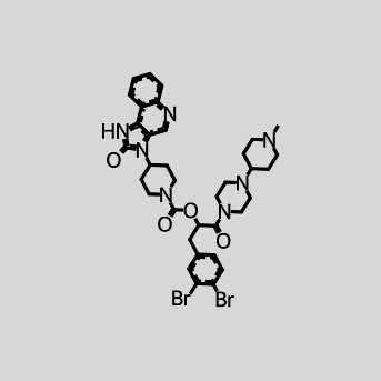 CN1CCC(N2CCN(C(=O)C(Cc3ccc(Br)c(Br)c3)OC(=O)N3CCC(n4c(=O)[nH]c5c6ccccc6ncc54)CC3)CC2)CC1